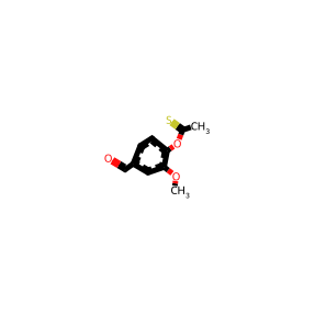 COc1cc(C=O)ccc1OC(C)=S